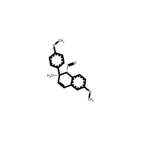 COc1ccc([C@]2(C)C=Cc3cc(OC)ccc3[C@H]2C=O)cc1